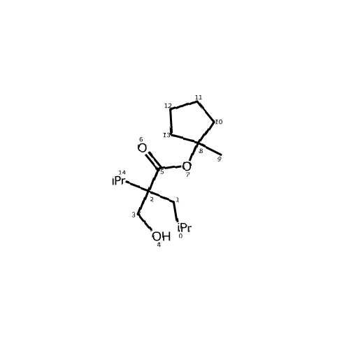 CC(C)CC(CO)(C(=O)OC1(C)CCCC1)C(C)C